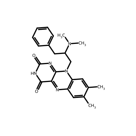 Cc1cc2nc3c(=O)[nH]c(=O)nc-3n(CC(Cc3ccccc3)N(C)C)c2cc1C